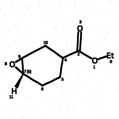 CCOC(=O)C1CC[C@@H]2OC2C1